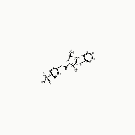 NS(=O)(=O)c1ccc(CNC[C@H](O)[C@H](Cc2ccccc2)NC(=O)O)cc1